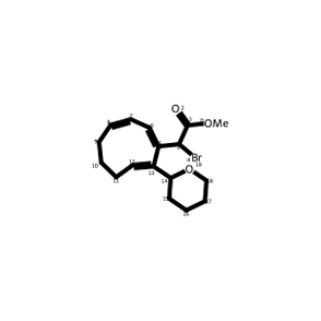 COC(=O)C(Br)C1=C/C=C\CCC\C=C\1C1CCCCO1